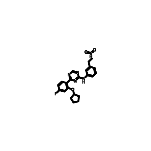 O=[SH](=O)CCc1cccc(Nc2ncnc(-c3ccc(F)cc3OC3CCCC3)n2)c1